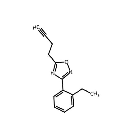 C#CCCc1nc(-c2ccccc2CC)no1